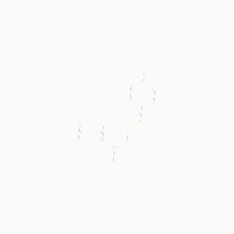 CCN(c1ccccc1)C(C)OCc1ccc(Cl)c(Cl)c1